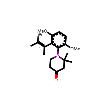 COc1ccc(OC)c(P2CCC(=O)CC2(C)C)c1/C(C)=C(/C)C(C)C